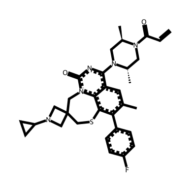 C=CC(=O)N1C[C@H](C)N(c2nc(=O)n3c4c(c(-c5ccc(F)cc5)c(C)cc24)SCC2(CN(C4CC4)C2)C3)C[C@H]1C